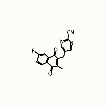 CC1=C(Cc2cnc(C#N)nc2)C(=O)c2cc(F)ccc2C1=O